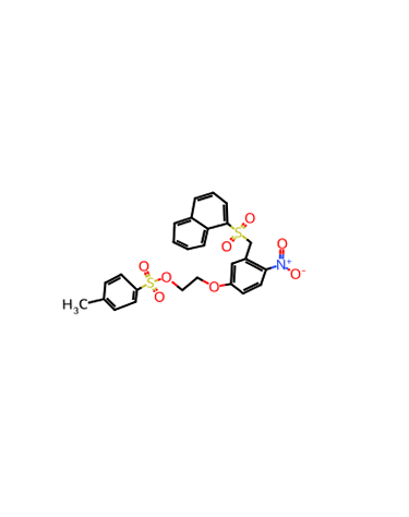 Cc1ccc(S(=O)(=O)OCCOc2ccc([N+](=O)[O-])c(CS(=O)(=O)c3cccc4ccccc34)c2)cc1